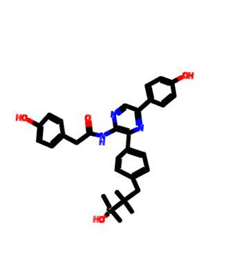 CC(C)(Cc1ccc(-c2nc(-c3ccc(O)cc3)cnc2NC(=O)Cc2ccc(O)cc2)cc1)[Si](C)(C)O